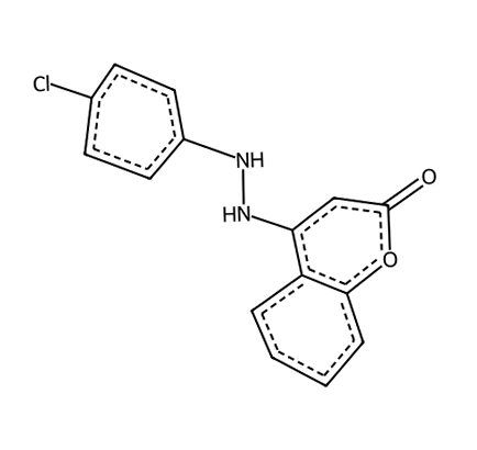 O=c1cc(NNc2ccc(Cl)cc2)c2ccccc2o1